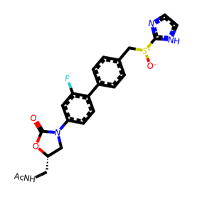 CC(=O)NC[C@H]1CN(c2ccc(-c3ccc(C[S+]([O-])c4ncc[nH]4)cc3)c(F)c2)C(=O)O1